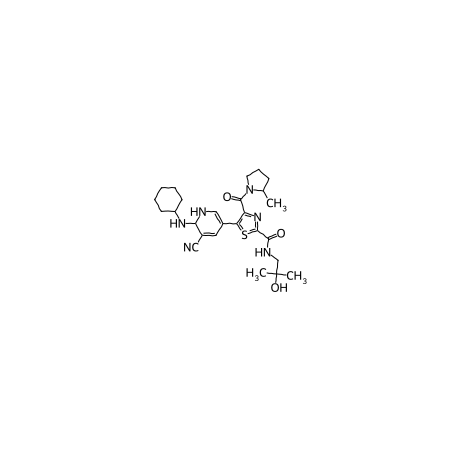 CC1CCCN1C(=O)c1nc(C(=O)NCC(C)(C)O)sc1C1=CNC(NC2CCCCC2)C(C#N)=C1